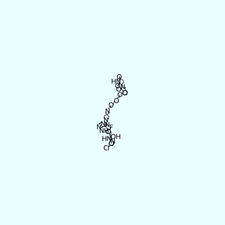 Nc1nccn2c(N3CCC4(CC3)CN(CCOCCOCCOc3cccc5c3C(=O)N(C3CCC(=O)NC3=O)C5)C4)nc(-c3ccc(C(O)Nc4cc(Cl)ccn4)cc3F)c12